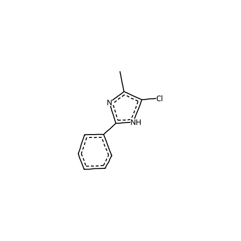 Cc1nc(-c2ccccc2)[nH]c1Cl